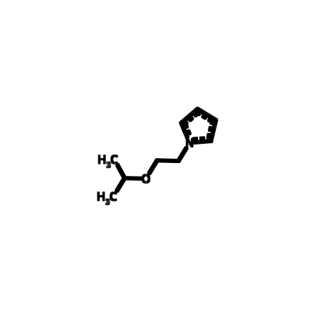 CC(C)OCCn1cccc1